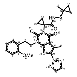 COc1ccccc1CCn1c(=O)n(C2(C(=O)NSC3(C)CC3)CC2)c(=O)c2c(C)c(-n3nccn3)sc21